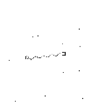 CCCCCC=CC=O.[C]